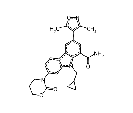 Cc1noc(C)c1-c1cc(C(N)=O)c2c(c1)c1ccc(N3CCCOC3=O)cc1n2CC1CC1